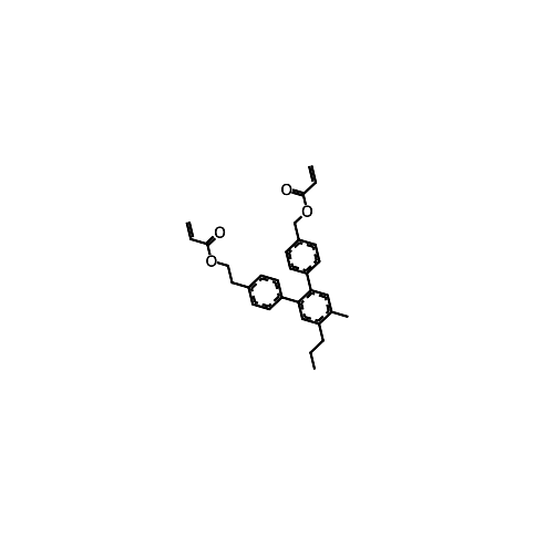 C=CC(=O)OCCc1ccc(-c2cc(CCC)c(C)cc2-c2ccc(COC(=O)C=C)cc2)cc1